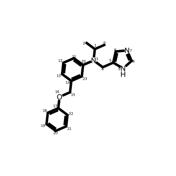 CC(C)N(Cc1cnc[nH]1)c1cccc(COc2ccccc2)c1